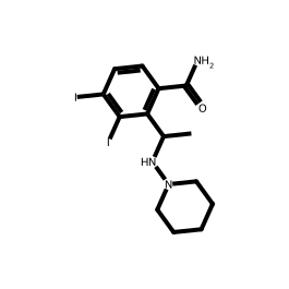 CC(NN1CCCCC1)c1c(C(N)=O)ccc(I)c1I